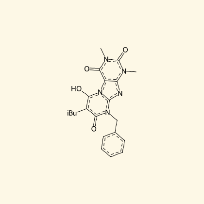 CCC(C)c1c(O)n2c3c(=O)n(C)c(=O)n(C)c3nc2n(Cc2ccccc2)c1=O